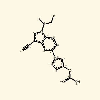 CCC(C)n1cc(C#N)c2cc(-n3cc(OC(=O)O)cn3)ccc21